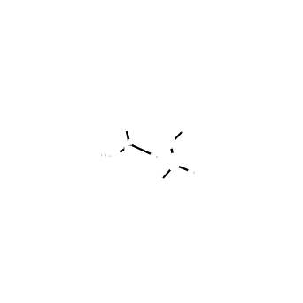 CCC[SiH](CCC)OC.CCC[SiH](CCC)OCC